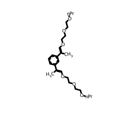 CCCOCCOCCOC=C(C)c1cccc(C(C)=COCCOCCOCCC)c1